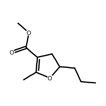 CCCC1CC(C(=O)OC)=C(C)O1